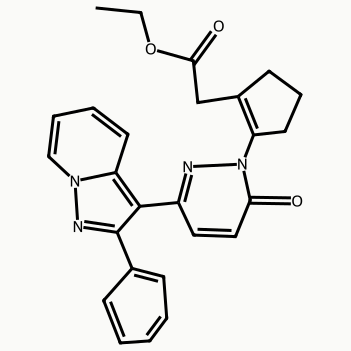 CCOC(=O)CC1=C(n2nc(-c3c(-c4ccccc4)nn4ccccc34)ccc2=O)CCC1